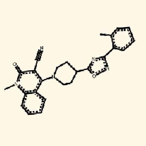 Cc1ccccc1-c1noc(C2CCN(c3c(C#N)c(=O)n(C)c4ccccc34)CC2)n1